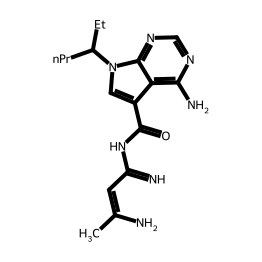 CCCC(CC)n1cc(C(=O)NC(=N)/C=C(/C)N)c2c(N)ncnc21